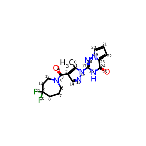 Cc1c(C(=O)N2CCCC(F)(F)CC2)cnn1-c1nn2cccc2c(=O)[nH]1